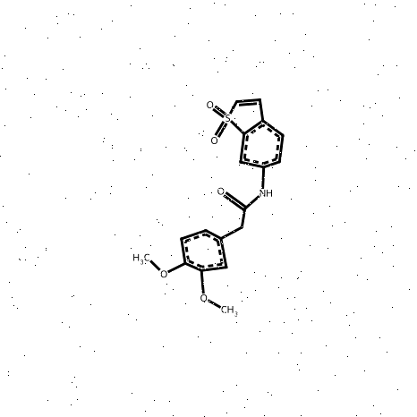 COc1ccc(CC(=O)Nc2ccc3c(c2)S(=O)(=O)C=C3)cc1OC